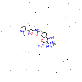 Cc1ncccc1-c1cc(NC(=O)Cc2ccc(C(=N)/C(C(N)=O)=C(/N)NC(C)C)cc2)on1